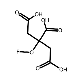 O=C(O)CC(CC(=O)O)(OF)C(=O)O